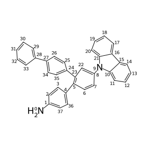 Nc1ccc(-c2ccc(-n3c4ccccc4c4ccccc43)cc2-c2ccc(-c3ccccc3)cc2)cc1